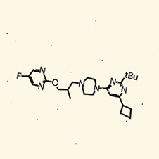 CC(COc1ncc(F)cn1)CN1CCN(c2cc(C3CCC3)nc(C(C)(C)C)n2)CC1